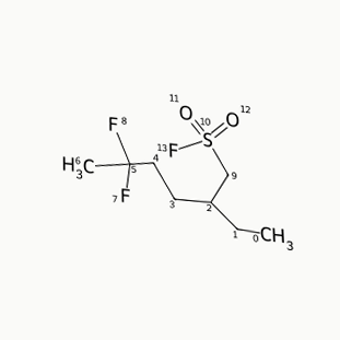 CCC(CCC(C)(F)F)CS(=O)(=O)F